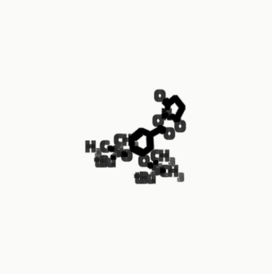 CC(C)(C)[Si](C)(C)Oc1ccc(C(=O)ON2C(=O)CCC2=O)cc1O[Si](C)(C)C(C)(C)C